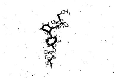 CCCS(=O)(=O)NC1CCC=C1c1ccc(OS(=O)OC(F)(F)F)cc1